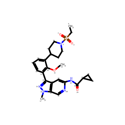 CCS(=O)(=O)N1CCC(c2cccc(-c3nn(C)c4cnc(NC(=O)C5CC5)cc34)c2OC)CC1